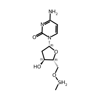 C[SiH2]OC[C@H]1O[C@@H](n2ccc(N)nc2=O)C[C@@H]1O